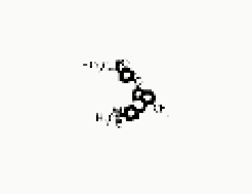 CS(=O)(=O)c1ccc(Cc2c(C(F)(F)F)ccc3c2CC[C@H]3Oc2ccc3c(c2)OC[C@H]3CC(=O)O)cc1